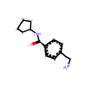 NCc1ccc(C(=O)NC2CCCC2)cc1